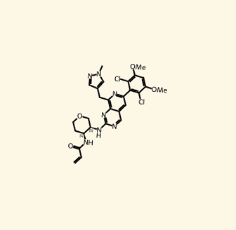 C=CC(=O)N[C@H]1CCOC[C@H]1Nc1ncc2cc(-c3c(Cl)c(OC)cc(OC)c3Cl)nc(Cc3cnn(C)c3)c2n1